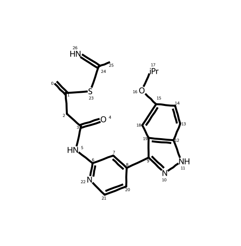 C=C(CC(=O)Nc1cc(-c2n[nH]c3ccc(OC(C)C)cc23)ccn1)SC(C)=N